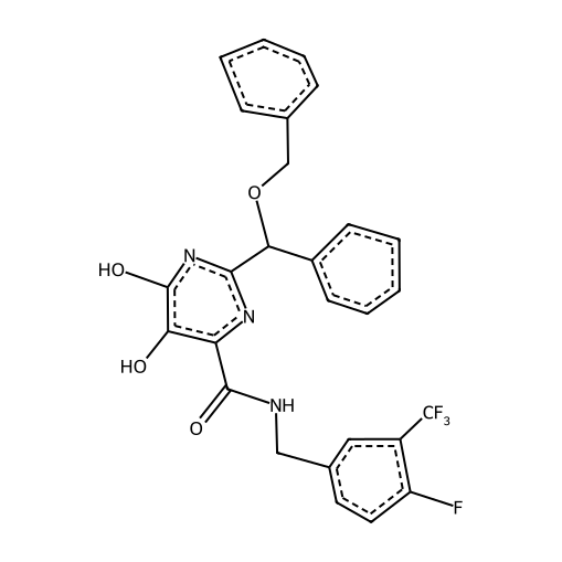 O=C(NCc1ccc(F)c(C(F)(F)F)c1)c1nc(C(OCc2ccccc2)c2ccccc2)nc(O)c1O